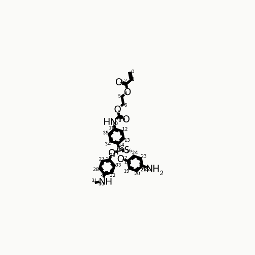 C=CC(=O)OCCOC(=O)Nc1ccc(P(=S)(Oc2ccc(N)cc2)Oc2ccc(NC)cc2)cc1